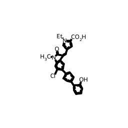 CCn1cc(C=C2C(=O)N(C)c3cc(Cl)c(-c4ccc(-c5ccccc5O)cc4)cc32)cc1C(=O)O